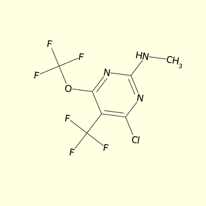 CNc1nc(Cl)c(C(F)(F)F)c(OC(F)(F)F)n1